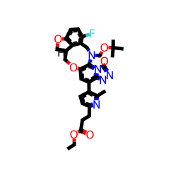 CCOC(=O)CCc1ccc(-c2cc3c(n4cnnc24)N(C(=O)OC(C)(C)C)Cc2c(F)ccc4c2[C@H](CO4)CO3)c(C)n1